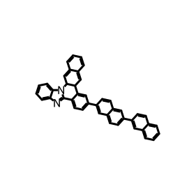 C1=c2ccccc2=CC2C1c1cc(-c3ccc4cc(-c5ccc6ccccc6c5)ccc4c3)ccc1-c1nc3ccccc3n12